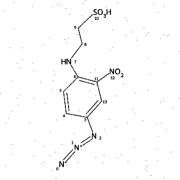 [N-]=[N+]=Nc1ccc(NCCS(=O)(=O)O)c([N+](=O)[O-])c1